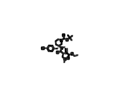 CCOC(=O)NC(COC)C(=O)N(C)[C@@]1(Cc2ccc(Cl)cc2)CCCN(C(=O)OC(C)(C)C)C1